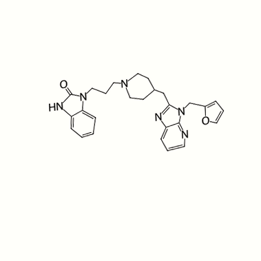 O=c1[nH]c2ccccc2n1CCCN1CCC(Cc2nc3cccnc3n2Cc2ccco2)CC1